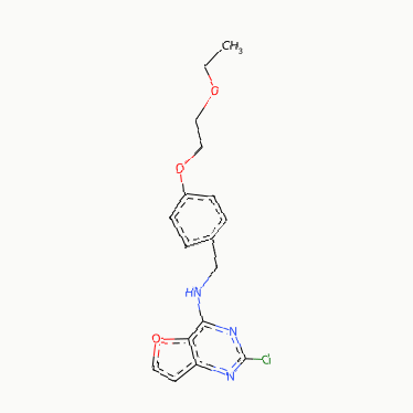 CCOCCOc1ccc(CNc2nc(Cl)nc3ccoc23)cc1